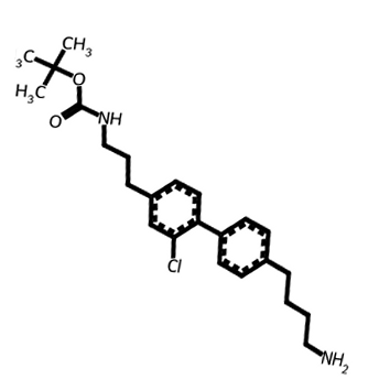 CC(C)(C)OC(=O)NCCCc1ccc(-c2ccc(CCCCN)cc2)c(Cl)c1